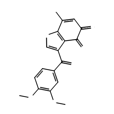 COc1ccc(C(=O)c2coc3c2C(=O)C(=O)C=C3Cl)cc1OC